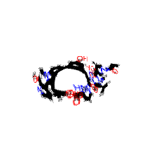 C=CC(=O)N1C[C@H](C)C(O)(C(=O)N(C)[C@H](C(=O)N[C@H]2Cc3cc(O)cc(c3)-c3ccc4c(c3)c(c(-c3cccnc3COC)n4CC)CC(C)(C)COC(=O)[C@@]3(O)CCCN(N3)C2=O)C(C)C)C1